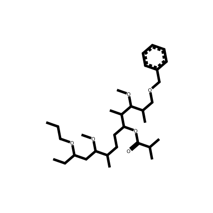 CCCOC(CC)CC(OC)C(C)CCC(OC(=O)C(C)C)C(C)C(OC)C(C)COCc1ccccc1